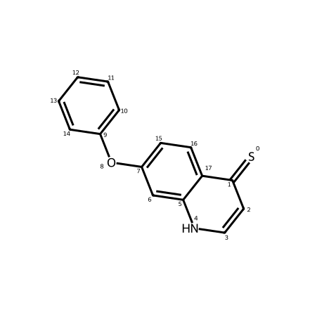 S=c1cc[nH]c2cc(Oc3ccccc3)ccc12